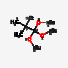 CCCC[O][Ti]([O]CCCC)([O]CCCC)[C](C)(C)CC